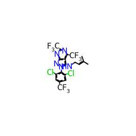 CC(C)=CCNc1c2c(C(F)(F)F)nc(C(F)(F)F)nc2nn1-c1c(Cl)cc(C(F)(F)F)cc1Cl